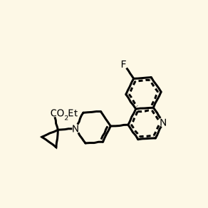 CCOC(=O)C1(N2CC=C(c3ccnc4ccc(F)cc34)CC2)CC1